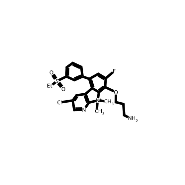 CCS(=O)(=O)c1cccc(-c2cc(F)c(OCCCN)c3c2-c2cc(Cl)cnc2[N+]3(C)C)c1